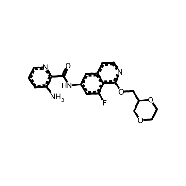 Nc1cccnc1C(=O)Nc1cc(F)c2c(OCC3COCCO3)nccc2c1